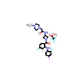 CN1CCN(CC(=O)NC2CN(C(=O)c3ccc(F)c(F)c3Nc3ccc(I)cc3F)C2)CC1.O=C(O)C(F)(F)F